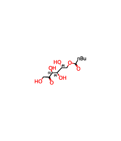 CCCCC(=O)OC[C@@H](O)[C@@H](O)[C@H](O)C(=O)CO